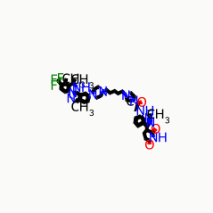 Cc1c(C(C)Nc2nnc(C)c3ccc(N4CCN(CCCCCN5CCN(C(=O)CNc6cccc7c(C8CCC(=O)NC8=O)nn(C)c67)CC5)CC4)cc23)cccc1C(F)(F)F